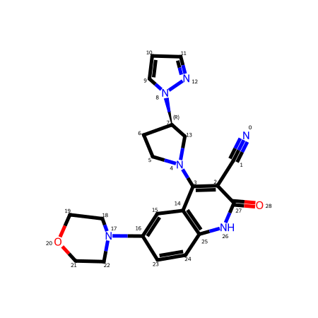 N#Cc1c(N2CC[C@@H](n3cccn3)C2)c2cc(N3CCOCC3)ccc2[nH]c1=O